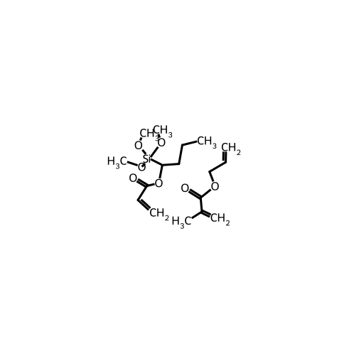 C=CC(=O)OC(CCC)[Si](OC)(OC)OC.C=CCOC(=O)C(=C)C